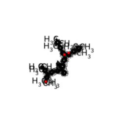 Cc1cc(C)c(-c2ccc(-c3ccc4c(c3)c3cc(-c5ccc(-c6c(C)cc(C)cc6C)cc5)ccc3n4-c3ccc(-c4ccc(N(c5ccccc5)c5ccc(-c6ccc(N(c7ccc(C(C)(C)C)cc7)c7ccc(C(C)(C)C)cc7)cc6)cc5)c5nsnc45)cc3)cc2)c(C)c1